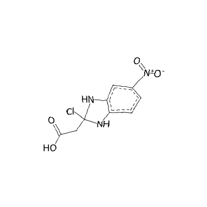 O=C(O)CC1(Cl)Nc2ccc([N+](=O)[O-])cc2N1